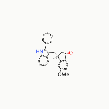 COc1ccc2c(c1)[C@@](C)(Cc1c(-c3ccccc3)[nH]c3ccccc13)CC2=O